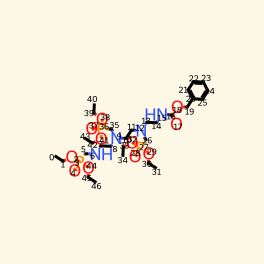 CCOP(=O)(CNCCN(CCN(CCNC(=O)OCc1ccccc1)CP(=O)(OCC)OCC)CP(=O)(OCC)OCC)OCC